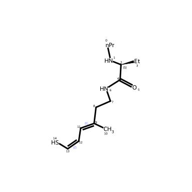 CCCN[C@@H](CC)C(=O)NCC/C(C)=C/C=C\S